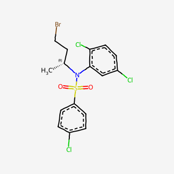 C[C@H](CCBr)N(c1cc(Cl)ccc1Cl)S(=O)(=O)c1ccc(Cl)cc1